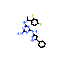 CC(Nc1nc(N)nc(Nc2cc(-c3ccccc3)[nH]n2)n1)c1ccc(F)cc1F